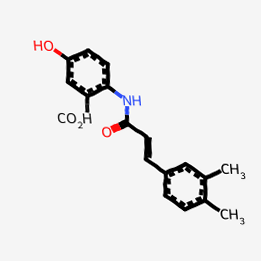 Cc1ccc(/C=C/C(=O)Nc2ccc(O)cc2C(=O)O)cc1C